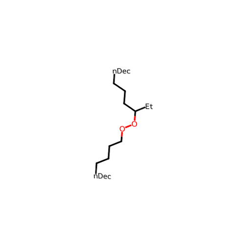 CCCCCCCCCCCCCCOOC(CC)CCCCCCCCCCCCC